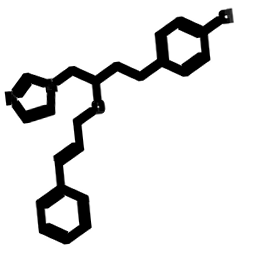 Clc1ccc(CCC(Cn2ccnc2)OC/C=C/c2ccccc2)cc1